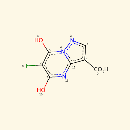 O=C(O)c1cnn2c(O)c(F)c(O)nc12